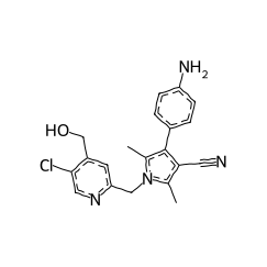 Cc1c(C#N)c(-c2ccc(N)cc2)c(C)n1Cc1cc(CO)c(Cl)cn1